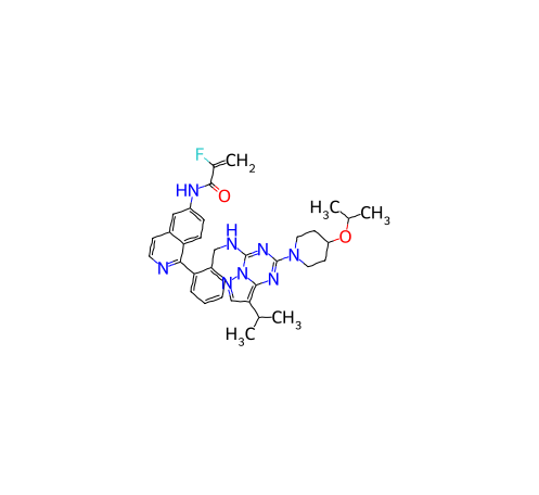 C=C(F)C(=O)Nc1ccc2c(-c3ccccc3CNc3nc(N4CCC(OC(C)C)CC4)nc4c(C(C)C)cnn34)nccc2c1